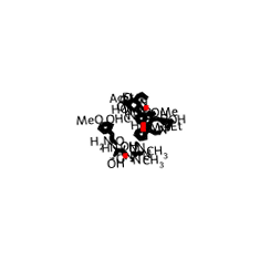 CC[C@]1(O)C[C@H]2C[N@](CCc3c([nH]c4ccccc34)[C@@](C(=O)OC)(c3cc4c(cc3OC)N(C=O)[C@H]3[C@@](O)(C(=O)OC)[C@H](OC(C)=O)[C@]5(CC)C=CCN6CC[C@]43[C@@H]65)C2)C1.COc1ccc(C[C@H](N)C(=O)N[C@H]2[C@@H](O)[C@H](n3cnc4c(N(C)C)ncnc43)O[C@@H]2CO)cc1